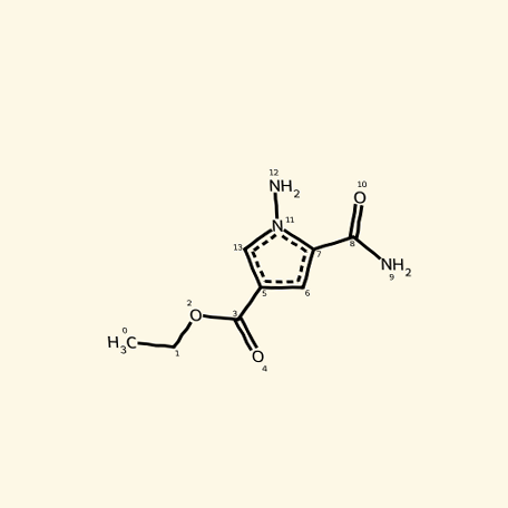 CCOC(=O)c1cc(C(N)=O)n(N)c1